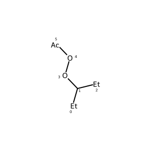 CCC(CC)OOC(C)=O